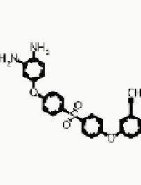 C#Cc1cccc(Oc2ccc(S(=O)(=O)c3ccc(Oc4ccc(N)c(N)c4)cc3)cc2)c1